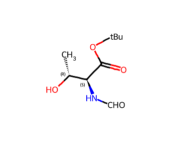 C[C@@H](O)[C@H](NC=O)C(=O)OC(C)(C)C